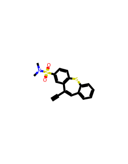 C#CC1=Cc2ccccc2Sc2ccc(S(=O)(=O)N(C)C)cc21